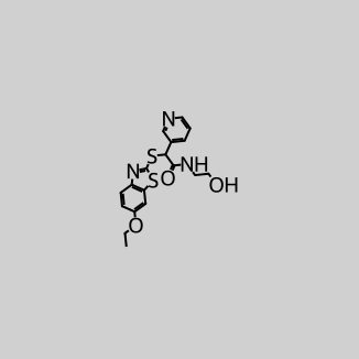 CCOc1ccc2nc(SC(C(=O)NCCO)c3cccnc3)sc2c1